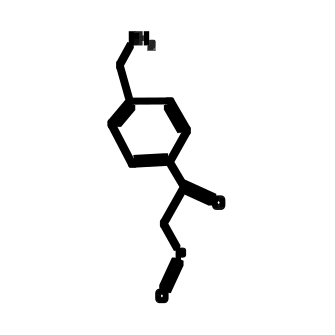 BCc1ccc(C(=O)CP=O)cc1